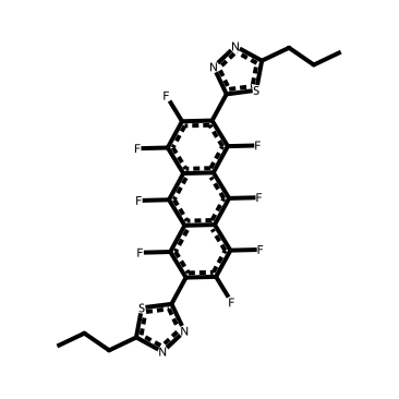 CCCc1nnc(-c2c(F)c(F)c3c(F)c4c(F)c(-c5nnc(CCC)s5)c(F)c(F)c4c(F)c3c2F)s1